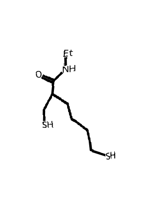 CCNC(=O)C(CS)CCCCS